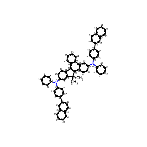 CC1(C)c2cc(N(c3ccccc3)c3ccc(-c4ccc5ccccc5c4)cc3)ccc2-c2c1c1ccc(N(c3ccccc3)c3ccc(-c4ccc5ccccc5c4)cc3)cc1c1ccccc21